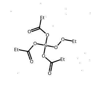 CCOO[Si](OC(=O)CC)(OC(=O)CC)OC(=O)CC